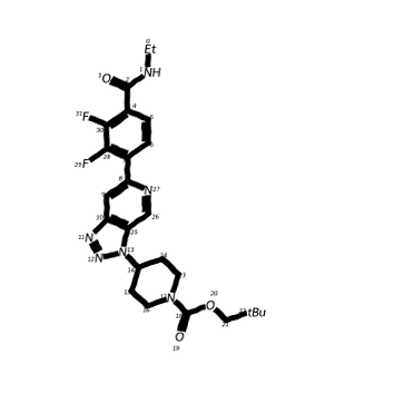 CCNC(=O)c1ccc(-c2cc3nnn(C4CCN(C(=O)OCC(C)(C)C)CC4)c3cn2)c(F)c1F